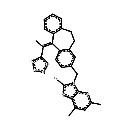 CCc1nc2c(C)cc(C)nc2n1Cc1ccc2c(c1)CCc1ccccc1C2=C(C)c1nnn[nH]1